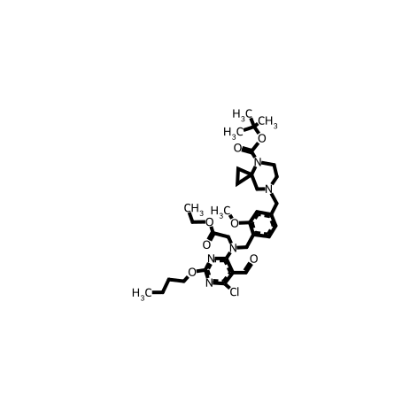 CCCCOc1nc(Cl)c(C=O)c(N(CC(=O)OCC)Cc2ccc(CN3CCN(C(=O)OC(C)(C)C)C4(CC4)C3)cc2OC)n1